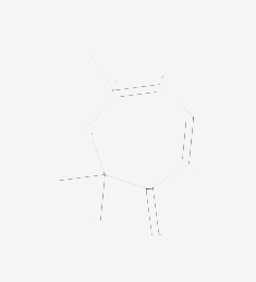 C=C1C=CC=C(C)SC1(C)C